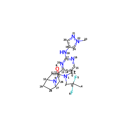 CCN(CC(C)(F)F)C(=O)N1C2C=C(c3ccnc(Nc4cnn(C)c4)n3)CC1CC2